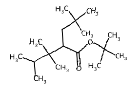 CC(C)C(C)(C)C(CC(C)(C)C)C(=O)OC(C)(C)C